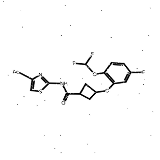 CC(=O)c1csc(NC(=O)C2CC(Oc3cc(F)ccc3OC(F)F)C2)n1